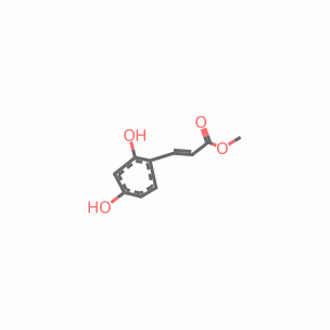 COC(=O)C=Cc1ccc(O)cc1O